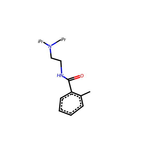 Cc1ccccc1C(=O)NCCN(C(C)C)C(C)C